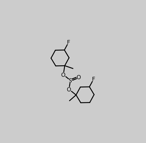 CC1(OS(=O)OC2(C)CCCC(F)C2)CCCC(F)C1